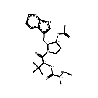 CN[C@@H](C)C(=O)N[C@H](C(=O)N1CC[C@H](OC(C)=O)[C@H]1Cc1c[nH]c2ncccc12)C(C)(C)C